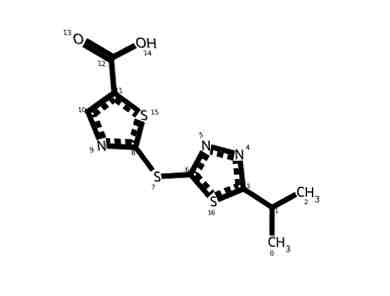 CC(C)c1nnc(Sc2ncc(C(=O)O)s2)s1